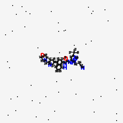 CC(C)(C)c1cc(NC(=O)Nc2ccc(-c3ccc(CN4CCOCC4)nc3)c3ccccc23)n(CCC#N)n1